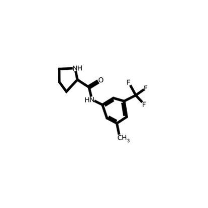 Cc1cc(NC(=O)C2CCCN2)cc(C(F)(F)F)c1